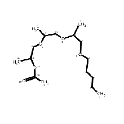 CCCCCOCC(C)OCC(C)OCC(C)OC(C)=O